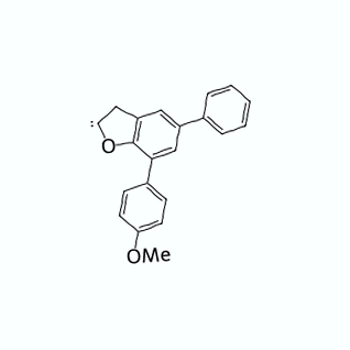 COc1ccc(-c2cc(-c3ccccc3)cc3c2O[C]C3)cc1